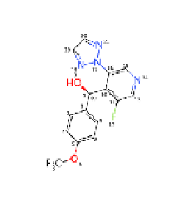 O[C@H](c1ccc(OC(F)(F)F)cc1)c1c(F)cncc1-n1nccn1